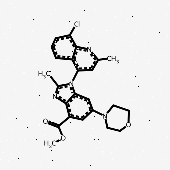 COC(=O)c1cc(N2CCOCC2)cc2c1nc(C)n2-c1cc(C)nc2c(Cl)cccc12